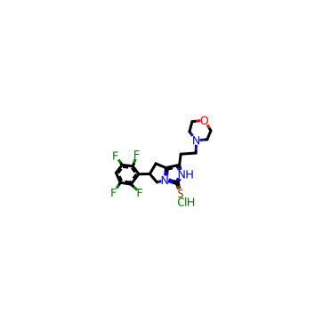 Cl.Fc1cc(F)c(F)c(C2Cc3c(CCN4CCOCC4)[nH]c(=S)n3C2)c1F